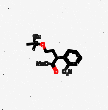 COC(=O)C(CCO[Si](C)(C)C(C)(C)C)c1ccccc1[N+](=O)[O-]